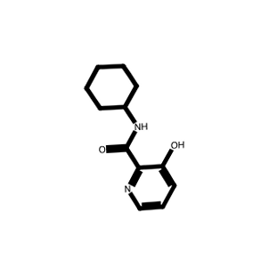 O=C(NC1CCCCC1)c1ncccc1O